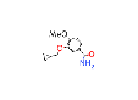 COc1ccc(C(N)=O)cc1OCC1CC1